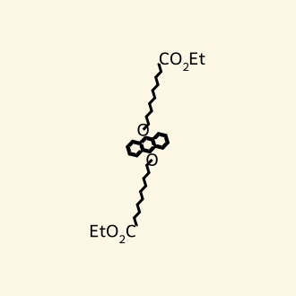 CCOC(=O)CCCCCCCCCCOc1c2ccccc2c(OCCCCCCCCCCC(=O)OCC)c2ccccc12